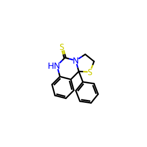 S=C1Nc2ccccc2C2(c3ccccc3)SCCN12